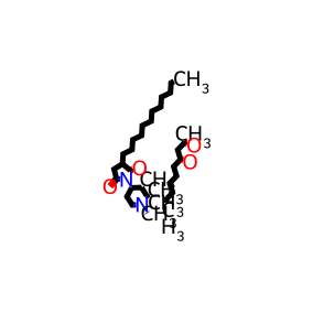 CCCCCCC(=O)CC(C)=O.CCCCCCCCCCCCC1CC(=O)N(C2CCN(C)C(C)(C)C2C)C1=O